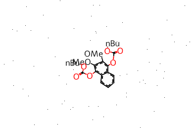 CCCCOC(=O)Oc1c(OC)c(OC)c(OC(=O)OCCCC)c2ccccc12